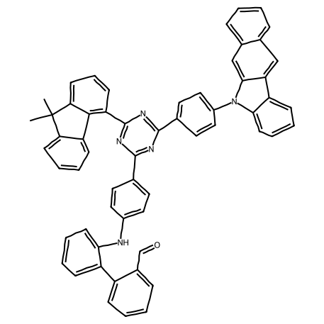 CC1(C)c2ccccc2-c2c(-c3nc(-c4ccc(Nc5ccccc5-c5ccccc5C=O)cc4)nc(-c4ccc(-n5c6ccccc6c6cc7ccccc7cc65)cc4)n3)cccc21